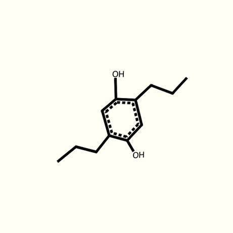 CCCc1cc(O)c(CCC)cc1O